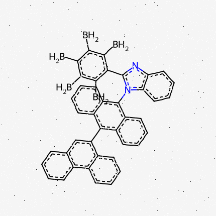 Bc1c(B)c(B)c(-c2nc3ccccc3n2-c2c3ccccc3c(-c3cc4ccccc4c4ccccc34)c3ccccc23)c(B)c1B